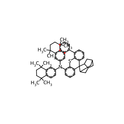 CC1(C)CCC(C)(C)c2cc(N(c3ccc4c(c3)C(C)(C)CCC4(C)C)c3cccc4c3Sc3c(-c5ccccc5)cccc3C43C4CC5CC(C4)C3C5)ccc21